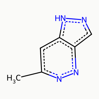 Cc1cc2[nH]ncc2nn1